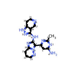 Cc1nc(N)cc(-c2c(Nc3n[nH]c4ccncc34)nc3cccnn23)n1